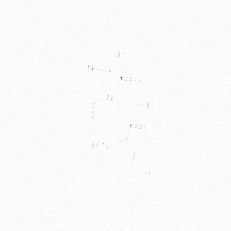 CC(C)C(N)C(=O)N1CCCC1(C(=O)O)C(=O)C(N)CC(=O)O